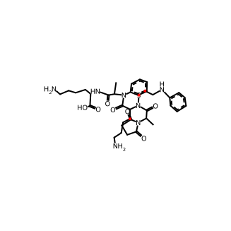 CC(C(=O)N(SCCNc1ccccc1)C(CCCCN)C(=O)N(c1ccccc1)C(C)C(=O)NC(CCCCN)C(=O)O)N1C(=O)CCC1=O